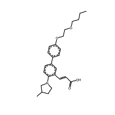 CCCCOCCOc1ccc(-c2ccc(N3CCC(C)C3)c(C=CC(=O)O)c2)cc1